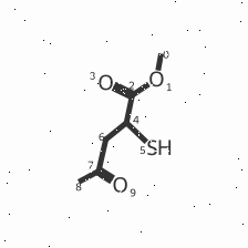 COC(=O)C(S)CC(C)=O